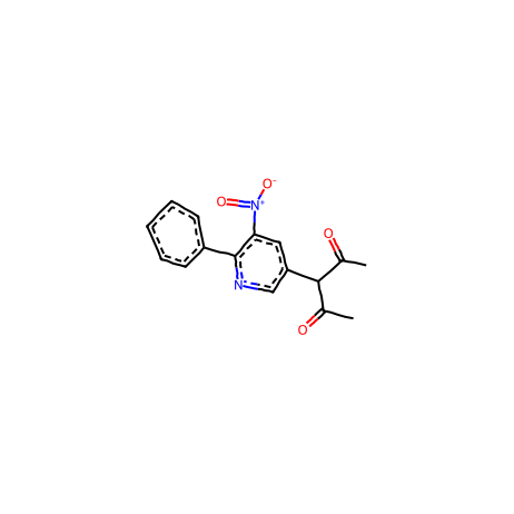 CC(=O)C(C(C)=O)c1cnc(-c2ccccc2)c([N+](=O)[O-])c1